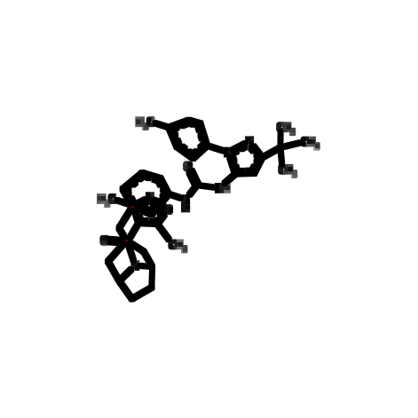 Cc1ccc(-n2nc(C(C)(C)C)cc2NC(=O)Nc2cccc(CC3CC4CCC(C3)N4C(=O)c3c(C)noc3C)c2)cc1